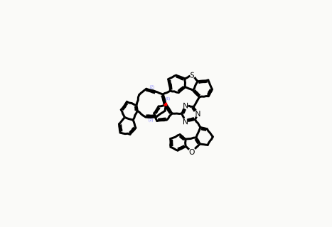 C1=CC2C=CC3=C(/C=C\C/C=C(c4ccc5sc6cccc(-c7nc(C8=CCCc9oc%10ccccc%10c98)nc(-c8ccccc8)n7)c6c5c4)\C=C/C3)C2C=C1